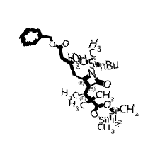 CCCC[Si](C)(C)N1C(=O)[C@@H]([C@@H](C)C(C)(C)C(O[SiH2]C)O[SiH2]C)[C@H]1CC(O)CC(=O)OCc1ccccc1